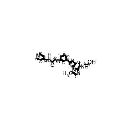 Cc1cnc2c(NCCO)nc3cc(-c4cccc(OCC(=O)NCc5ccncc5)c4)sc3n12